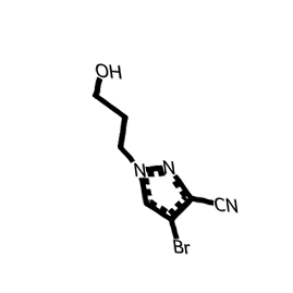 N#Cc1nn(CCCO)cc1Br